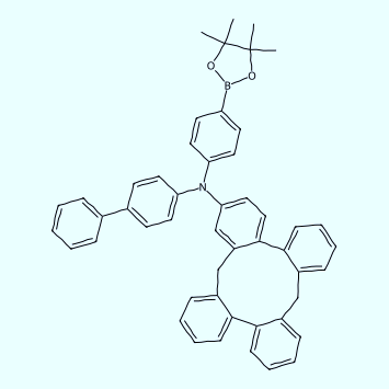 CC1(C)OB(c2ccc(N(c3ccc(-c4ccccc4)cc3)c3ccc4c(c3)Cc3ccccc3-c3ccccc3Cc3ccccc3-4)cc2)OC1(C)C